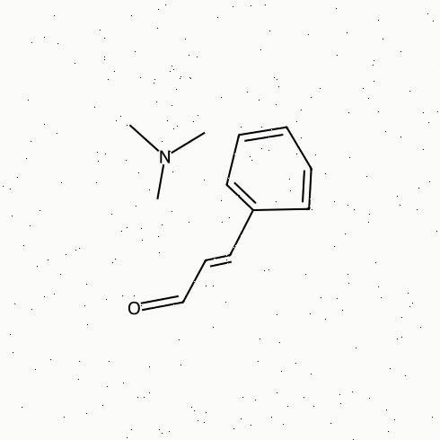 CN(C)C.O=CC=Cc1ccccc1